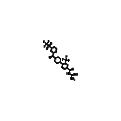 N=C(N)NC(=O)c1ccc(C2CCN(C(=O)c3cccc(S(=O)(=O)C(F)(F)F)c3)CC2)c(C(F)(F)F)c1